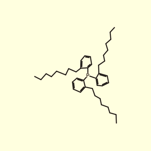 CCCCCCCCc1ccccc1P(c1ccccc1CCCCCCCC)c1ccccc1CCCCCCCC